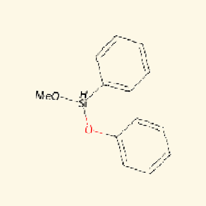 CO[SiH](Oc1ccccc1)c1ccccc1